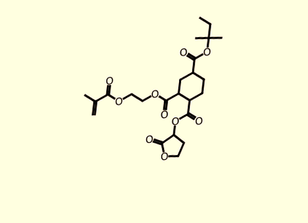 C=C(C)C(=O)OCCOC(=O)C1CC(C(=O)OC(C)(C)CC)CCC1C(=O)OC1CCOC1=O